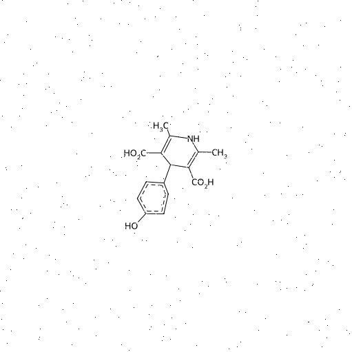 CC1=C(C(=O)O)C(c2ccc(O)cc2)C(C(=O)O)=C(C)N1